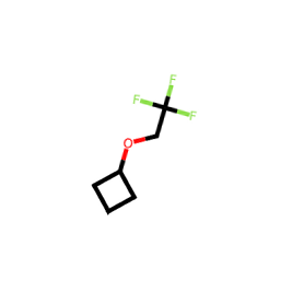 FC(F)(F)COC1C[CH]C1